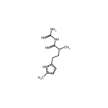 Cc1ccc(CCN(C)C(=N)NC(=N)N)[nH]1